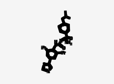 CC(C)c1cc(-c2cncs2)cc(C(C)C)c1NC(=O)N=S(N)(=O)c1ccc(CN(C)C)cc1